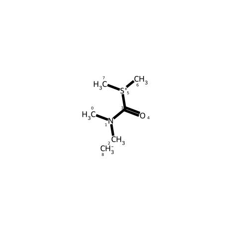 CN(C)C(=O)[S+](C)C.[CH3-]